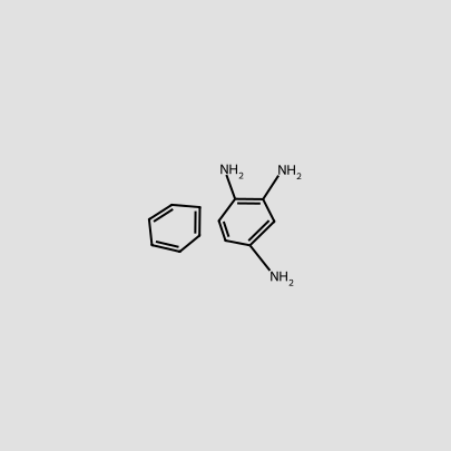 Nc1ccc(N)c(N)c1.c1ccccc1